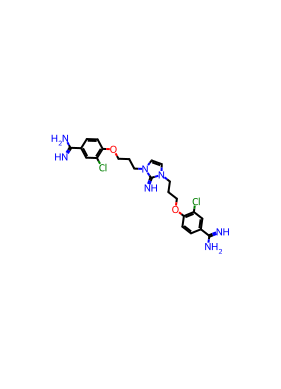 N=C(N)c1ccc(OCCCn2ccn(CCCOc3ccc(C(=N)N)cc3Cl)c2=N)c(Cl)c1